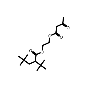 CC(=O)CC(=O)OCCOC(=O)C(CC(C)(C)C)C(C)(C)C